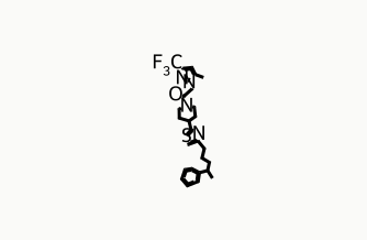 Cc1cc(C(F)(F)F)nn1CC(=O)N1CCC(c2nc(CCCC(C)c3ccccc3)cs2)CC1